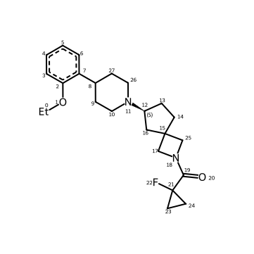 CCOc1ccccc1C1CCN([C@H]2CCC3(C2)CN(C(=O)C2(F)CC2)C3)CC1